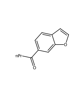 CC[CH]C(=O)c1ccc2ccoc2c1